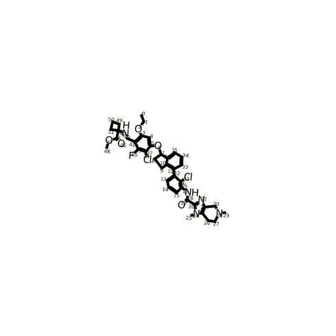 CCOc1cc(OC2CCc3c(-c4cccc(NC(=O)c5nc6c(n5C)CCN(C)C6)c4Cl)cccc32)c(Cl)c(F)c1CNC1(C(=O)OC)CCC1